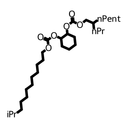 CCCCCC(CCC)COC(=O)OC1CCCCC1OC(=O)OCCCCCCCCCCC(C)C